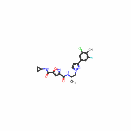 C[C@@H](Cn1ccc(-c2cc(F)c(C#N)c(Cl)c2)n1)NC(=O)c1cc(C(=O)NC2CC2)on1